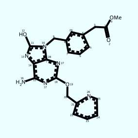 COC(=O)Cc1cccc(Cn2c(O)nc3c(N)nc(OCc4ccccn4)nc32)c1